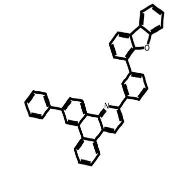 c1ccc(-c2ccc3c(c2)c2ccccc2c2ccc(-c4cccc(-c5cccc6c5oc5ccccc56)c4)nc23)cc1